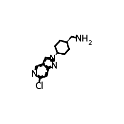 NC[C@H]1CC[C@H](n2cc3cnc(Cl)cc3n2)CC1